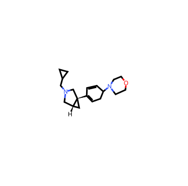 C1=CC(N2CCOCC2)CC=C1[C@@]12C[C@@H]1CN(CC1CC1)C2